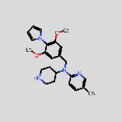 CCOc1cc(CN(c2ccc(C#N)cn2)C2CCNCC2)cc(OCC)c1-n1cccc1